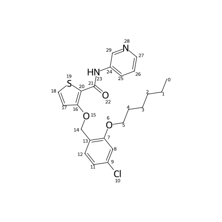 CCCCCCOc1cc(Cl)ccc1COc1ccsc1C(=O)Nc1cccnc1